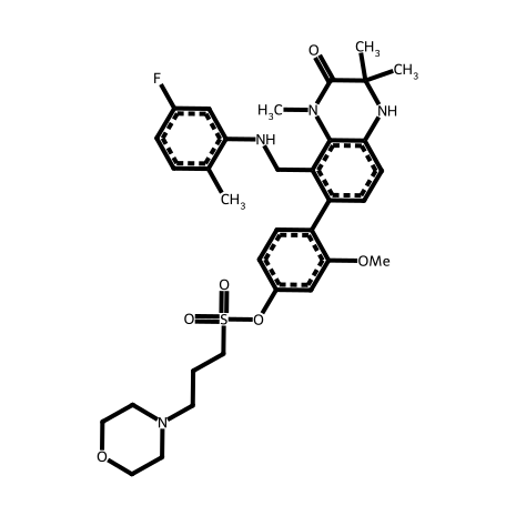 COc1cc(OS(=O)(=O)CCCN2CCOCC2)ccc1-c1ccc2c(c1CNc1cc(F)ccc1C)N(C)C(=O)C(C)(C)N2